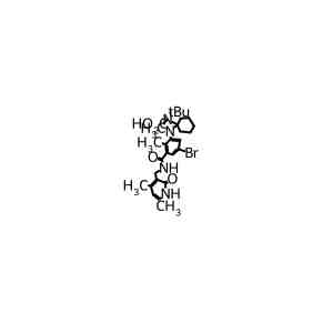 Cc1cc(C)c(CNC(=O)c2cc(Br)cc(N(C)C3(N(C(=O)O)C(C)(C)C)CCCCC3)c2C)c(=O)[nH]1